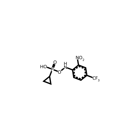 O=[N+]([O-])c1cc(C(F)(F)F)ccc1NOP(=O)(O)C1CC1